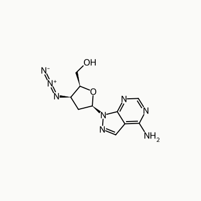 [N-]=[N+]=N[C@@H]1C[C@H](n2ncc3c(N)ncnc32)O[C@@H]1CO